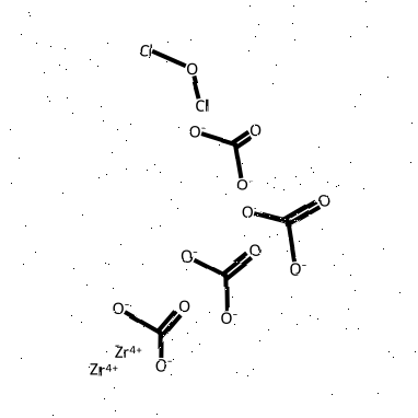 ClOCl.O=C([O-])[O-].O=C([O-])[O-].O=C([O-])[O-].O=C([O-])[O-].[Zr+4].[Zr+4]